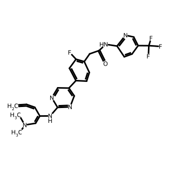 C=C=C/C(=C\N(C)C)Nc1ncc(-c2ccc(CC(=O)Nc3ccc(C(F)(F)F)cn3)c(F)c2)cn1